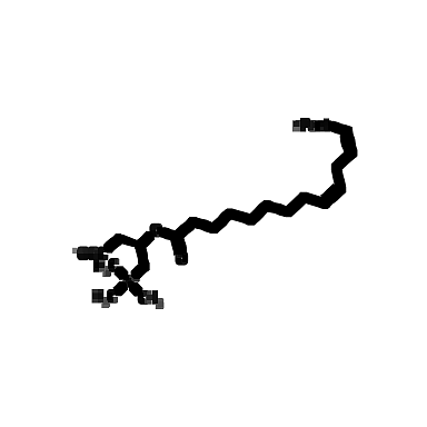 CCCCC/C=C\C/C=C\CCCCCCCC(=O)O[C@H](CC(=O)[O-])C[N+](C)(C)C